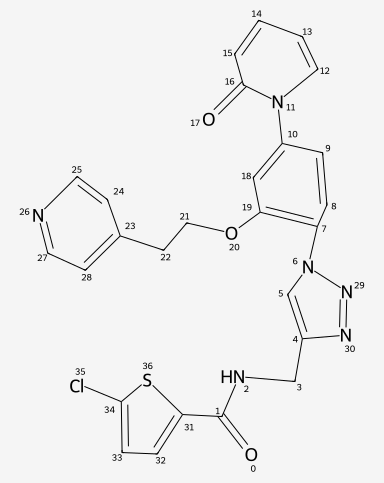 O=C(NCc1cn(-c2ccc(-n3ccccc3=O)cc2OCCc2ccncc2)nn1)c1ccc(Cl)s1